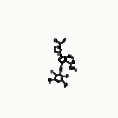 C=CC(=O)N1CC[C@H](c2cc(C#Cc3c(F)c(OC)cc(OC)c3F)c3c(N)ncnn23)C1